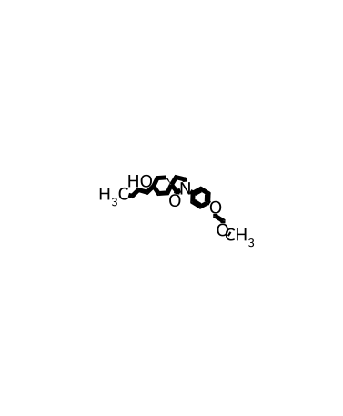 CCCC[C@]1(O)CC[C@@]2(CCN(c3ccc(OCCOC)cc3)C2=O)CC1